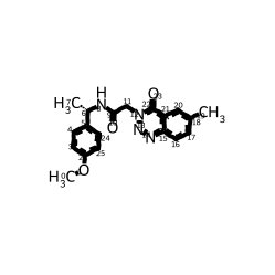 COc1ccc([C@H](C)NC(=O)Cn2nnc3ccc(C)cc3c2=O)cc1